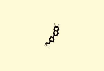 CCCc1ccc(-c2ccc3cc(F)c(F)cc3c2)cc1